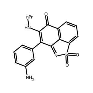 CCCNC1=C(c2cccc(N)c2)C2=NS(=O)(=O)c3cccc(c32)C1=O